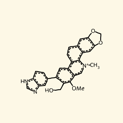 COc1c(CO)c(-c2ccc3[nH]cnc3c2)cc2c1c[n+](C)c1c3cc4c(cc3ccc21)OCO4